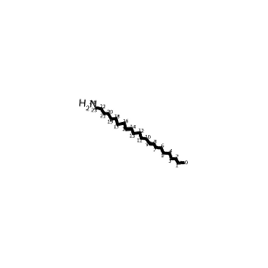 CCCCCCCCC=CCCCCC=CCCCCCCCCN